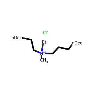 CCCCCCCCCCCCC[N+](C)(CC)CCCCCCCCCCCC.[Cl-]